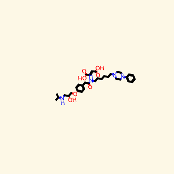 CC(C)NC[C@H](O)COc1ccc(CC(=O)NCCCCCCN2CCN(c3ccccc3)CC2)cc1.O=C(O)C=CC(=O)O